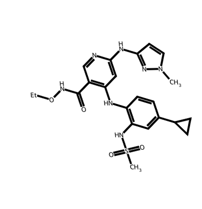 CCONC(=O)c1cnc(Nc2ccn(C)n2)cc1Nc1ccc(C2CC2)cc1NS(C)(=O)=O